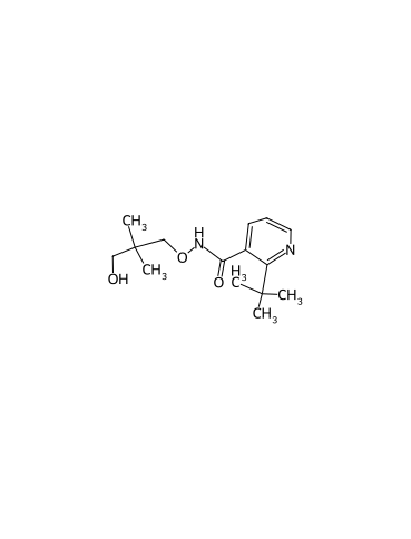 CC(C)(CO)CONC(=O)c1cccnc1C(C)(C)C